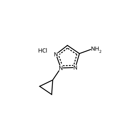 Cl.Nc1cnn(C2CC2)n1